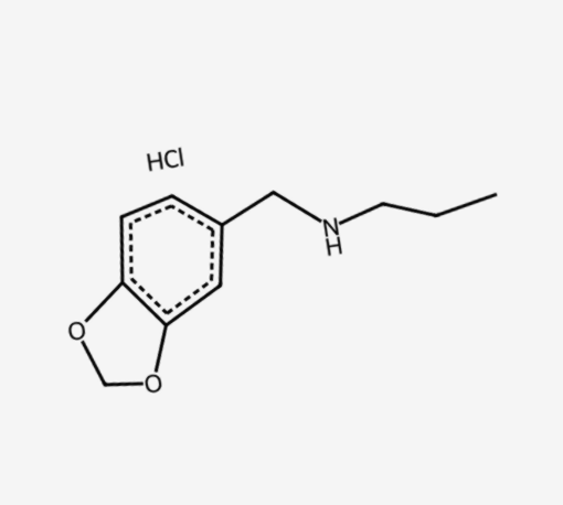 CCCNCc1ccc2c(c1)OCO2.Cl